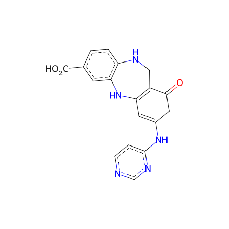 O=C1CC(Nc2ccncn2)=CC2=C1CNc1ccc(C(=O)O)cc1N2